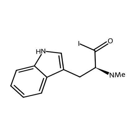 CN[C@@H](Cc1c[nH]c2ccccc12)C(=O)I